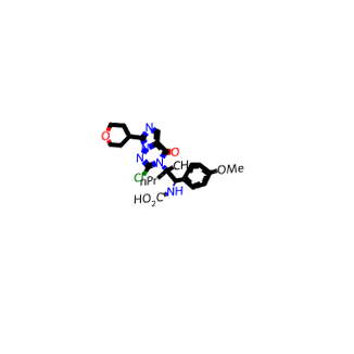 CCCC(C)([C@@H](NC(=O)O)c1ccc(OC)cc1)n1c(Cl)nn2c(C3CCOCC3)ncc2c1=O